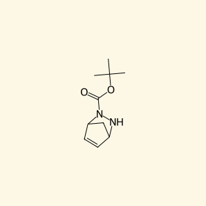 CC(C)(C)OC(=O)N1NC2C=CC1C2